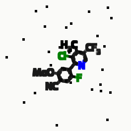 COc1cc(-c2ncc(C(F)(F)F)c(C)c2Cl)c(F)cc1C#N